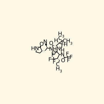 CC[C@@H]([C@H](NC(=O)C(F)(F)F)C(=O)N1C[C@H]2[C@@H]([C@H]1C(=O)N[C@H](C#N)C[C@@H]1CCNC1=O)C2(C)C)C(F)(F)F